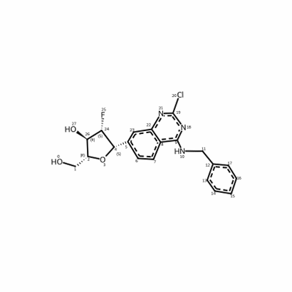 OC[C@H]1O[C@@H](c2ccc3c(NCc4ccccc4)nc(Cl)nc3c2)[C@@H](F)[C@@H]1O